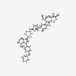 Nc1ncnc2c1c(-c1ccc(Oc3ccccc3)cc1)nn2C1CCC(CN2CC3CCC2CN3c2cc3c(cc2F)CN(C2CCC(=O)NC2=O)C3C(=O)C=O)CC1